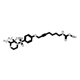 CC1SCCN(S(=O)(=O)c2ccc(OCC#CCCCCNC(=O)OC(C)(C)C)cc2)[C@@]1(C)C(=O)O